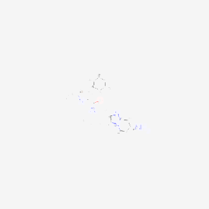 CC1=NC(C(=O)N2CCCC[C@H]2Cc2cn3ccc(N)cc3n2)C(c2ccccc2)S1